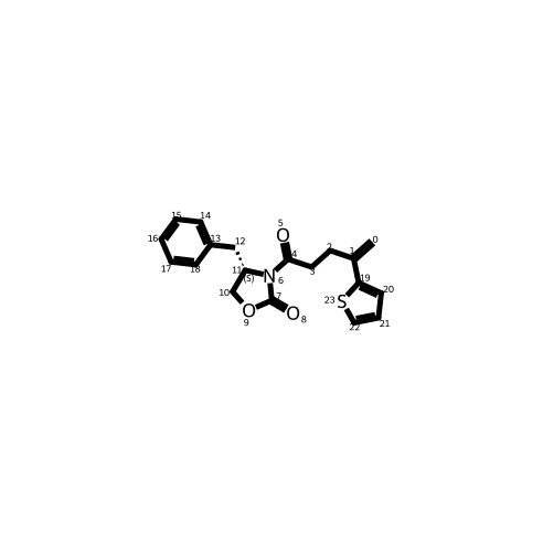 C=C(CCC(=O)N1C(=O)OC[C@@H]1Cc1ccccc1)c1cccs1